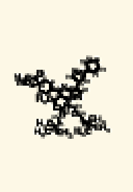 C=C(C)c1c(C2CCC(CO)(C(C)=O)CC2)nc2c(-c3cnn(-c4ccccc4)c3)cnn2c1N(COCC[Si](C)(C)C)COCC[Si](C)(C)C